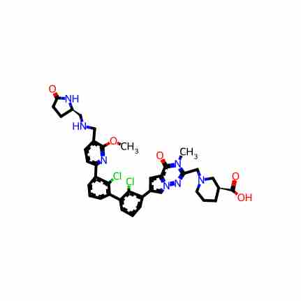 COc1nc(-c2cccc(-c3cccc(-c4cc5c(=O)n(C)c(CN6CCC[C@H](C(=O)O)C6)nn5c4)c3Cl)c2Cl)ccc1CNC[C@H]1CCC(=O)N1